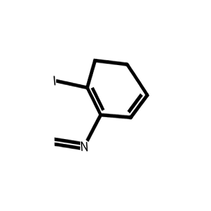 C=NC1=C(I)CCC=C1